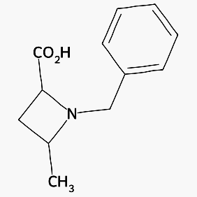 CC1CC(C(=O)O)N1Cc1ccccc1